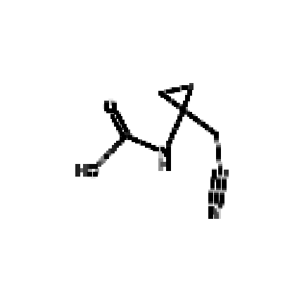 N#CCC1(NC(=O)O)CC1